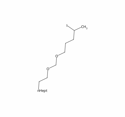 CCCCCCCCCOCOCCCC(C)I